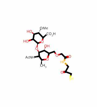 CO[C@@H]1C(C(=O)O)O[C@@H](O[C@@H]2C(NC(C)=O)[C@H](C)OC(COCC(=O)PCC(=O)CS)[C@H]2O)C(O)[C@H]1O